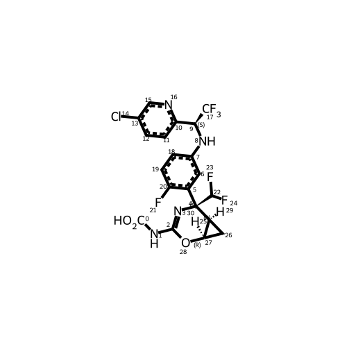 O=C(O)NC1=N[C@@](c2cc(N[C@@H](c3ccc(Cl)cn3)C(F)(F)F)ccc2F)(C(F)F)[C@H]2C[C@H]2O1